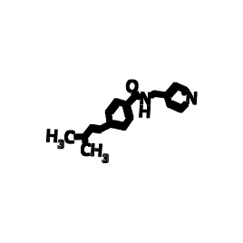 CC(C)/C=C/c1ccc(C(=O)NCc2ccncc2)cc1